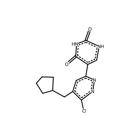 O=c1[nH]cc(-c2cc(CC3CCCC3)c(Cl)nn2)c(=O)[nH]1